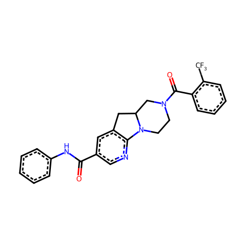 O=C(Nc1ccccc1)c1cnc2c(c1)CC1CN(C(=O)c3ccccc3C(F)(F)F)CCN21